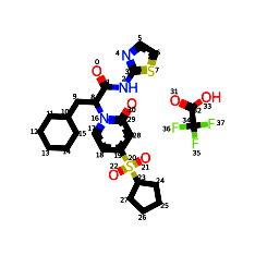 O=C(Nc1nccs1)C(CC1CCCCC1)n1ccc(S(=O)(=O)C2CCCC2)cc1=O.O=C(O)C(F)(F)F